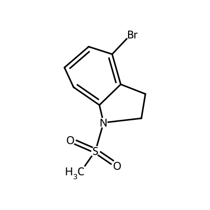 CS(=O)(=O)N1CCc2c(Br)cccc21